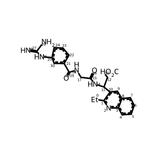 CCc1nc2ccccc2cc1C(CC(=O)O)NC(=O)CNC(=O)c1cccc(NC(=N)N)c1